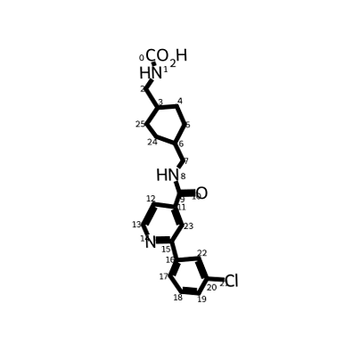 O=C(O)NCC1CCC(CNC(=O)c2ccnc(-c3cccc(Cl)c3)c2)CC1